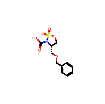 O=C(O)N1[C@@H](COCc2ccccc2)COS1(=O)=O